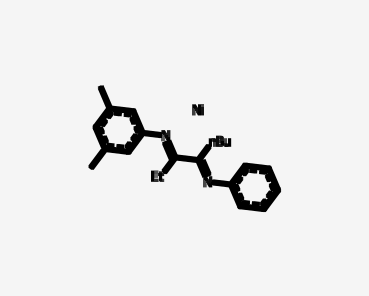 CCCCC(=N\c1ccccc1)/C(CC)=N/c1cc(C)cc(C)c1.[Ni]